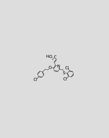 O=C(O)C=Cc1nc(CSc2c(Cl)cccc2Cl)ccc1OCCc1ccc(Cl)cc1